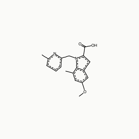 COc1cc(C)c2c(c1)cc(C(=O)O)n2Cc1cccc(C)n1